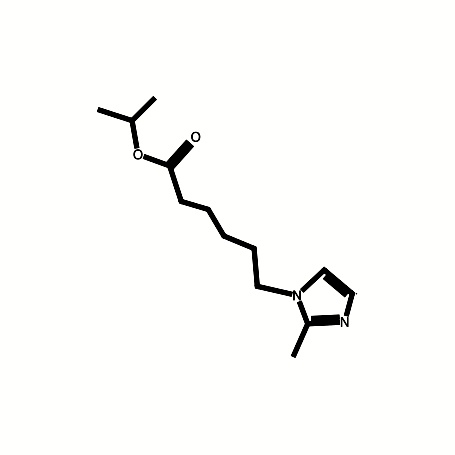 Cc1n[c]cn1CCCCCC(=O)OC(C)C